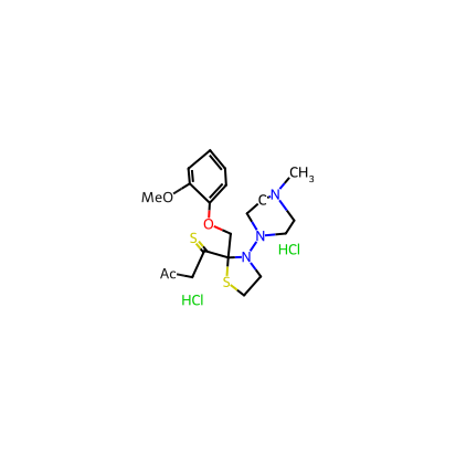 COc1ccccc1OCC1(C(=S)CC(C)=O)SCCN1N1CCN(C)CC1.Cl.Cl